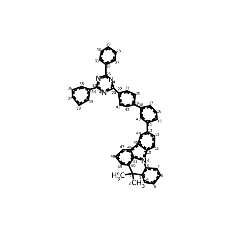 CC1(C)c2ccccc2-n2c3ccc(-c4cccc(-c5ccc(-c6nc(-c7ccccc7)nc(-c7ccccc7)n6)cc5)c4)cc3c3cccc1c32